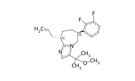 C=CC[C@@H]1CC[C@@H](c2cccc(F)c2F)Cn2c(C(C)(C)OC)cnc21